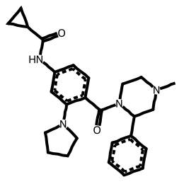 CN1CCN(C(=O)c2ccc(NC(=O)C3CC3)cc2N2CCCC2)C(c2ccccc2)C1